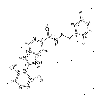 Cc1ccc(C)c(CCNC(=O)c2ccc3nc(-c4c(Cl)cccc4Cl)[nH]c3c2)c1